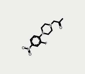 CC(=O)CN1CCN(c2ccc([N+](=O)[O-])cc2F)CC1